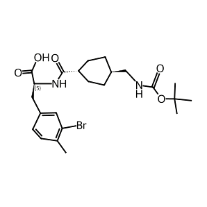 Cc1ccc(C[C@H](NC(=O)[C@H]2CC[C@H](CNC(=O)OC(C)(C)C)CC2)C(=O)O)cc1Br